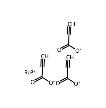 C#CC(=O)[O-].C#CC(=O)[O-].C#CC(=O)[O-].[Ru+3]